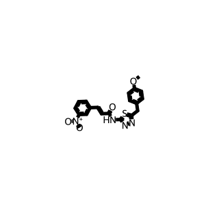 COc1ccc(Cc2nnc(NC(=O)/C=C/c3cccc([N+](=O)[O-])c3)s2)cc1